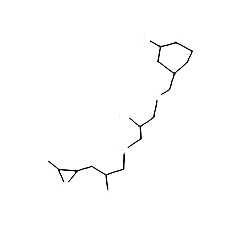 CCC(COCC(O)COCC1CCCC(O)C1)CC1OC1C